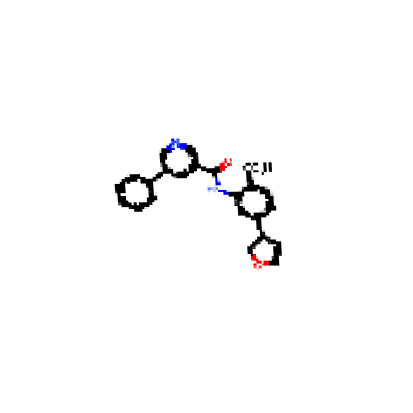 O=C(Nc1cc(C2C=COC2)ccc1C(=O)O)c1cncc(-c2ccccc2)c1